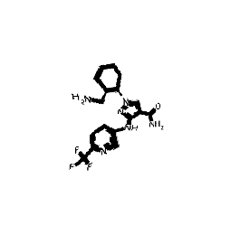 NC[C@H]1CCCC[C@@H]1n1cc(C(N)=O)c(Nc2ccc(C(F)(F)F)nc2)n1